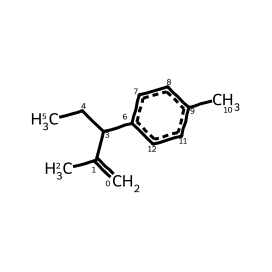 C=C(C)C(CC)c1ccc(C)cc1